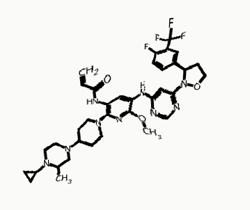 C=CC(=O)Nc1cc(Nc2cc(N3OCCC3c3ccc(F)c(C(F)(F)F)c3)ncn2)c(OC)nc1N1CCC(N2CCN(C3CC3)C(C)C2)CC1